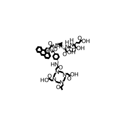 CC(=O)CN1CCN(CC(=O)O)CCN(CC(=O)NC[C@H]2CC[C@H](C(=O)N[C@@H](Cc3c4ccccc4cc4ccccc34)C(=O)NC[C@H]3C[C@@H]3C[C@H](NC(=O)N[C@@H](CCC(=O)O)C(=O)O)C(=O)O)CC2)CCN(CC(=O)O)CC1